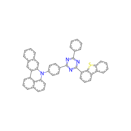 c1ccc(-c2nc(-c3ccc(N4c5cc6ccccc6cc5-c5cccc6cccc4c56)cc3)nc(-c3cccc4c3sc3ccccc34)n2)cc1